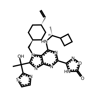 C=C[C@H]1CC[C@H](Cn2c(C(C)(O)c3nccs3)nc3nc(-c4noc(=O)[nH]4)nc(N[C@H](C)C4CCC4)c32)CC1